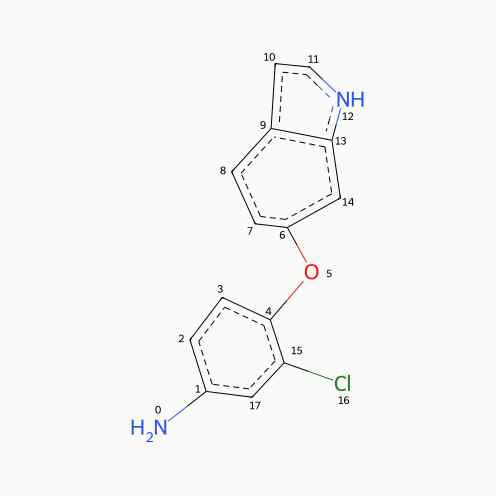 Nc1ccc(Oc2ccc3cc[nH]c3c2)c(Cl)c1